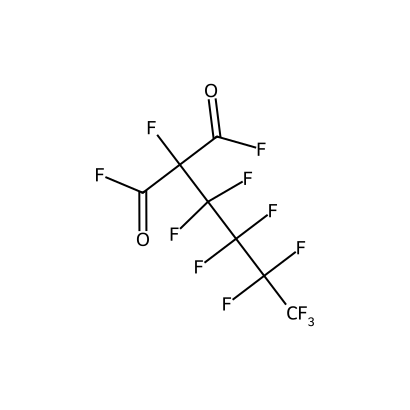 O=C(F)C(F)(C(=O)F)C(F)(F)C(F)(F)C(F)(F)C(F)(F)F